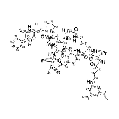 C=Cc1cc(C=C)nc(NCCCC(=O)N[C@H](C(=O)N[C@@H](CCCNC(N)=O)C(=O)Nc2ccc(COC(=O)N(C)[C@H](C(=O)N[C@H](C(=O)N(C)[C@@H]([C@@H](C)CC)[C@@H](CC(=O)N3CCC[C@H]3[C@H](OC)[C@@H](C)C(=O)N[C@H](C)[C@@H](O)c3ccccc3)OC)C(C)C)C(C)C)cc2)C(C)C)n1